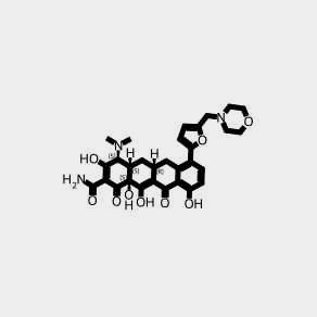 CN(C)[C@@H]1C(O)=C(C(N)=O)C(=O)[C@@]2(O)C(O)=C3C(=O)c4c(O)ccc(-c5ccc(CN6CCOCC6)o5)c4C[C@H]3C[C@@H]12